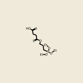 CCO[Si](CCCOC(=S)CCC(O)=S)(OCC)OCC